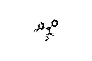 CCOC(=O)[C@@H]1[C@H](c2ccccc2)[C@H]1c1cncc(Cl)c1